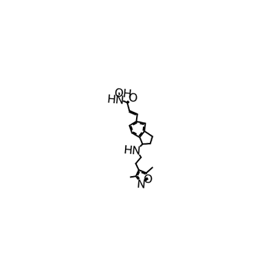 Cc1noc(C)c1CCNC1CCc2cc(/C=C/C(=O)NO)ccc21